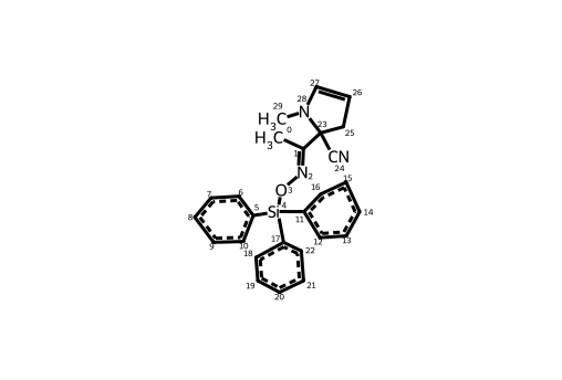 C/C(=N\O[Si](c1ccccc1)(c1ccccc1)c1ccccc1)C1(C#N)CC=CN1C